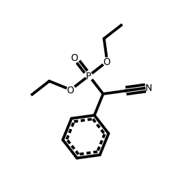 CCOP(=O)(OCC)C(C#N)c1ccccc1